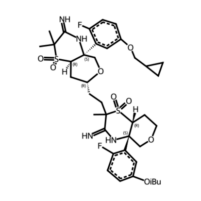 CC(C)COc1ccc(F)c([C@]23COCC[C@H]2S(=O)(=O)C(C)(CC[C@@H]2C[C@@H]4[C@](c5cc(OCC6CC6)ccc5F)(CO2)NC(=N)C(C)(C)S4(=O)=O)C(=N)N3)c1